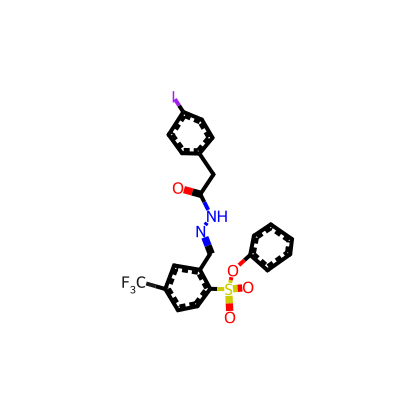 O=C(Cc1ccc(I)cc1)NN=Cc1cc(C(F)(F)F)ccc1S(=O)(=O)Oc1ccccc1